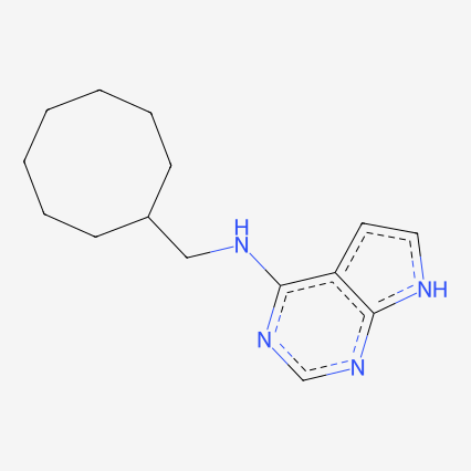 c1nc(NCC2CCCCCCC2)c2cc[nH]c2n1